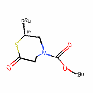 CCCC[C@H]1CN(C(=O)OC(C)(C)C)CC(=O)S1